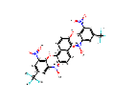 O=[N+]([O-])c1cc(C(F)(F)F)cc([N+](=O)[O-])c1Oc1ccc2c(Oc3c([N+](=O)[O-])cc(C(F)(F)F)cc3[N+](=O)[O-])cccc2c1